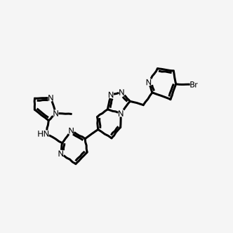 Cn1nccc1Nc1nccc(-c2ccn3c(Cc4cc(Br)ccn4)nnc3c2)n1